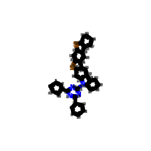 c1ccc(-c2nc(-c3ccccc3)nc(-n3c4ccccc4c4cc5c(cc43)sc3cc4sc6ccccc6c4cc35)n2)cc1